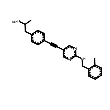 CC(=O)NC(C)Cc1ccc(C#Cc2cnc(NCc3ccccc3C)nc2)cc1